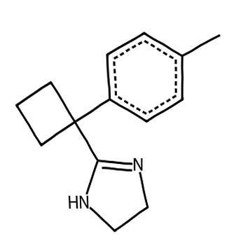 Cc1ccc(C2(C3=NCCN3)CCC2)cc1